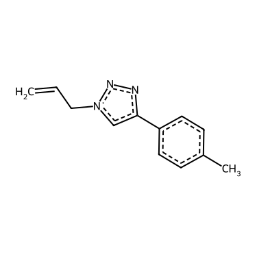 C=CCn1cc(-c2ccc(C)cc2)nn1